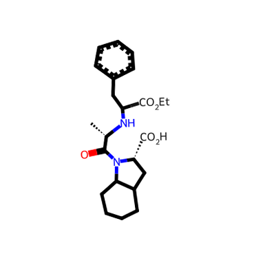 CCOC(=O)C(Cc1ccccc1)N[C@@H](C)C(=O)N1C2CCCCC2C[C@H]1C(=O)O